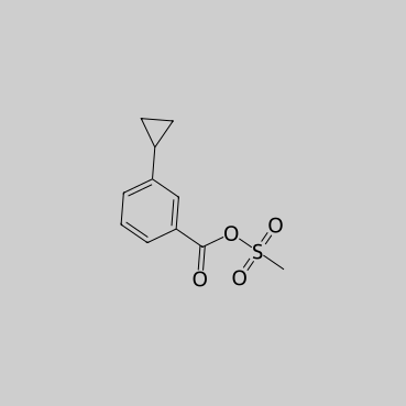 CS(=O)(=O)OC(=O)c1cccc(C2CC2)c1